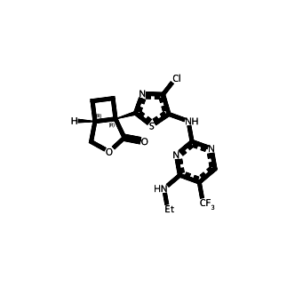 CCNc1nc(Nc2sc([C@]34CC[C@H]3COC4=O)nc2Cl)ncc1C(F)(F)F